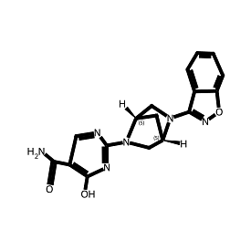 NC(=O)c1cnc(N2C[C@@H]3C[C@H]2CN3c2noc3ccccc23)nc1O